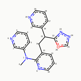 CN(c1cccnc1)c1ncccc1CC(c1cccnc1)c1nnco1